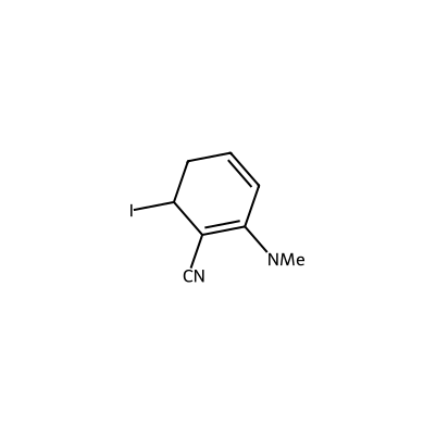 CNC1=C(C#N)C(I)CC=C1